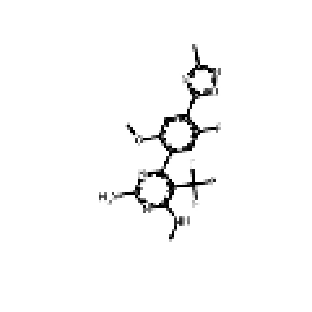 CNc1nc(N)nc(-c2cc(F)c(-c3nc(C)no3)cc2OC)c1C(F)(F)F